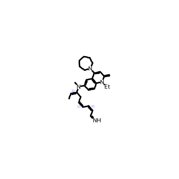 C=C1C=C(N2CCCCCC2)c2cc(N(C)/C(=C/C)C/C=C\C=C/C=N)ccc2N1CC